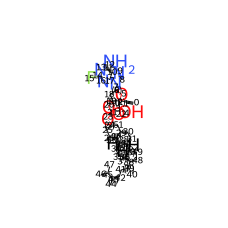 C#C[C@]1(CO)O[C@@H](n2cnc3c(N)nc(F)nc32)C[C@@H]1OC(=O)O[C@H]1CC[C@@]2(C)C(=CC[C@@H]3[C@@H]2CC[C@]2(C)C([C@H](C)CC[C@@H](C)C(C)C)CC[C@@H]32)C1